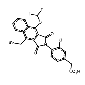 CC(C)Cc1c2c(c(OC(F)F)c3ccccc13)C(=O)N(c1ccc(CC(=O)O)cc1Cl)C2=O